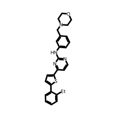 CCc1ccccc1-c1ccc(-c2ccnc(Nc3cccc(CN4CCOCC4)c3)n2)s1